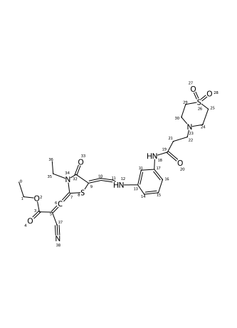 CCOC(=O)C(=C=c1sc(=C=CNc2cccc(NC(=O)CCN3CCS(=O)(=O)CC3)c2)c(=O)n1CC)C#N